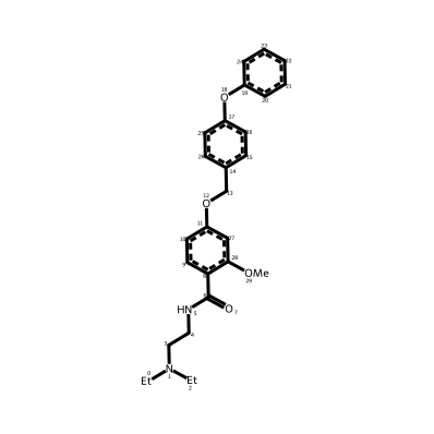 CCN(CC)CCNC(=O)c1ccc(OCc2ccc(Oc3ccccc3)cc2)cc1OC